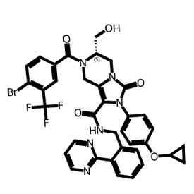 O=C(NCc1ccccc1-c1ncccn1)c1c2n(c(=O)n1-c1ccc(OC3CC3)cc1)C[C@@H](CO)N(C(=O)c1ccc(Br)c(C(F)(F)F)c1)C2